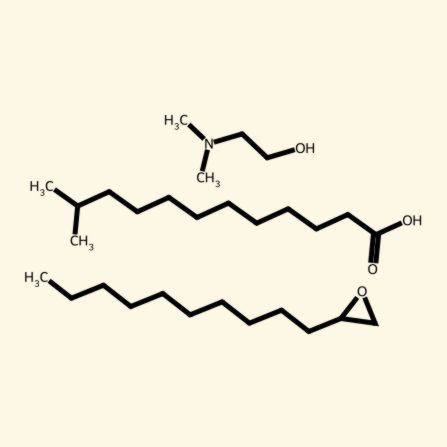 CC(C)CCCCCCCCCC(=O)O.CCCCCCCCCCC1CO1.CN(C)CCO